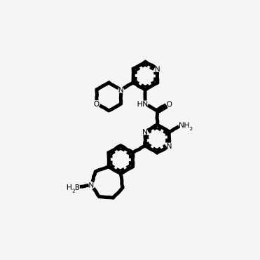 BN1CCCc2cc(-c3cnc(N)c(C(=O)Nc4cnccc4N4CCOCC4)n3)ccc2C1